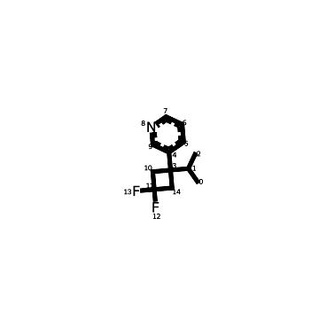 CC(C)C1(c2cccnc2)CC(F)(F)C1